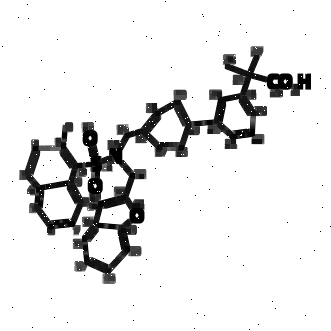 Cc1ccc2ccccc2c1S(=O)(=O)N(Cc1ccc(-c2cccc(C(C)(C)C(=O)O)c2)cc1)Cc1cc2ccccc2o1